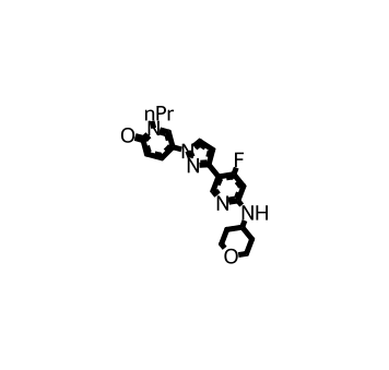 CCCn1cc(-n2ccc(-c3cnc(NC4CCOCC4)cc3F)n2)ccc1=O